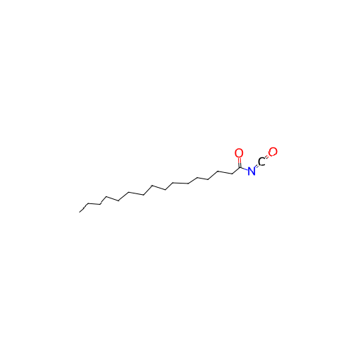 CCCCCCCCCCCCCCCC(=O)N=C=O